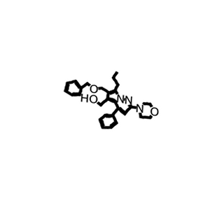 CCCc1c(COCc2ccccc2)c(CO)c2c(-c3ccccc3)cc(N3CCOCC3)nn12